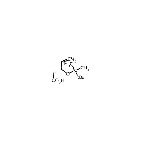 C=C[C@@H](CC(=O)O)O[Si](C)(C)C(C)(C)C